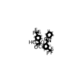 CC(Oc1ccc(C(F)(F)F)cc1-c1nc2ccccc2o1)(C(=O)O)c1ccc(C(F)(F)F)cc1